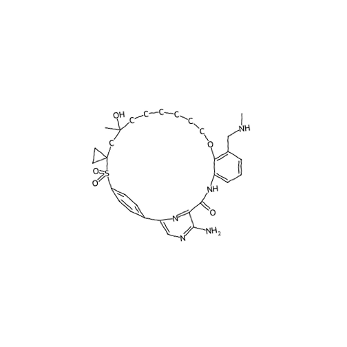 CNCc1cccc2c1OCCCCCCC(C)(O)CC1(CC1)S(=O)(=O)c1ccc(cc1)-c1cnc(N)c(n1)C(=O)N2